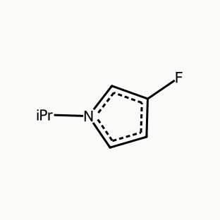 CC(C)n1ccc(F)c1